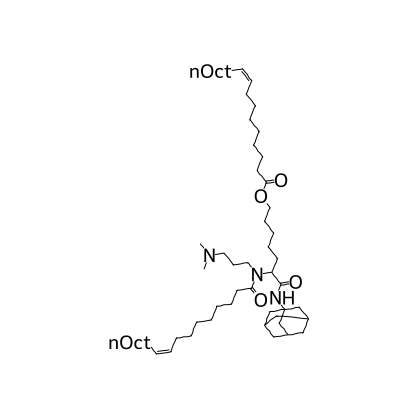 CCCCCCCC/C=C\CCCCCCCC(=O)OCCCCCC(C(=O)NC12CC3CC(CC(C3)C1)C2)N(CCCN(C)C)C(=O)CCCCCCC/C=C\CCCCCCCC